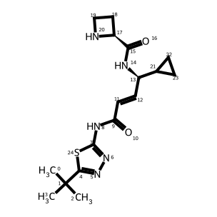 CC(C)(C)c1nnc(NC(=O)/C=C/[C@@H](NC(=O)[C@@H]2CCN2)C2CC2)s1